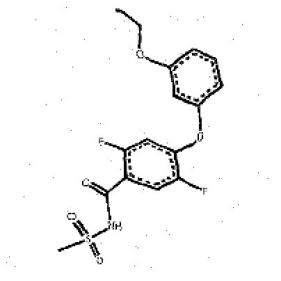 CCOc1cccc(Oc2cc(F)c(C(=O)NS(C)(=O)=O)cc2F)c1